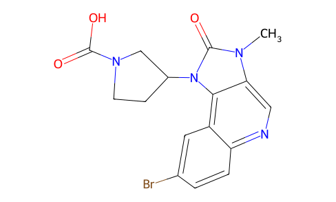 Cn1c(=O)n(C2CCN(C(=O)O)C2)c2c3cc(Br)ccc3ncc21